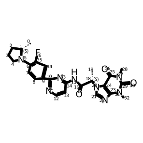 C[C@H]1CCCN1c1ccc(-c2nccc(NC(=O)[C@H](C)n3cnc4c3c(=O)n(C)c(=O)n4C)n2)cc1F